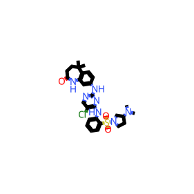 CN(C)C1CCN(S(=O)(=O)c2ccccc2Nc2nc(Nc3ccc4c(c3)NC(=O)CCC4(C)C)ncc2Cl)C1